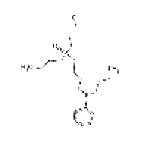 CCCCP(CCCCP(=O)(CCCC)CCCC)c1ccccc1